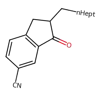 CCCCCCCCC1Cc2ccc(C#N)cc2C1=O